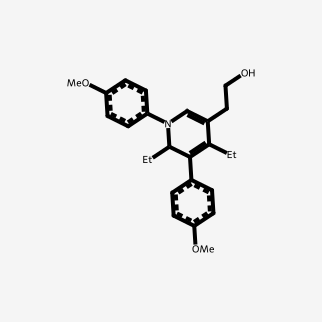 CCC1=C(c2ccc(OC)cc2)C(CC)N(c2ccc(OC)cc2)[C]=C1CCO